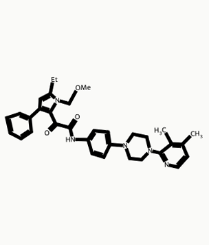 CCc1cc(-c2ccccc2)c(C(=O)C(=O)Nc2ccc(N3CCN(c4nccc(C)c4C)CC3)cc2)n1COC